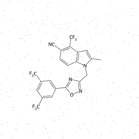 Cc1cc2c(C(F)(F)F)c(C#N)ccc2n1Cc1noc(-c2cc(C(F)(F)F)cc(C(F)(F)F)c2)n1